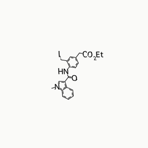 CCOC(=O)Cc1ccc(NC(=O)c2cn(C)c3ccccc23)c(CI)c1